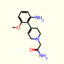 COc1cccc(N)c1C1=CCN(CC(N)=O)CC1